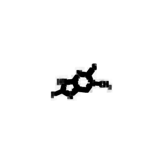 Cn1cc2nc(F)[nH]c2nc1=S